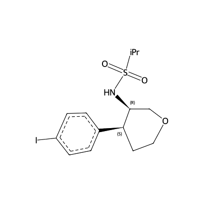 CC(C)S(=O)(=O)N[C@H]1COCC[C@H]1c1ccc(I)cc1